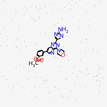 CS(=O)(=O)c1cccc(-c2cnc3c(N4CCOCC4)nc(-c4cnc(N)nc4)nc3c2)c1